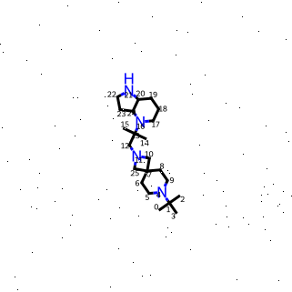 CC(C)(C)N1CCC2(CC1)CN(CC(C)(C)N1CCCC3NCCC31)C2